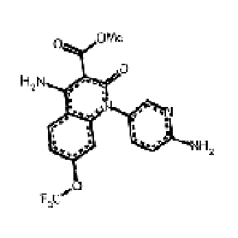 COC(=O)c1c(N)c2ccc(OC(F)(F)F)cc2n(-c2ccc(N)nc2)c1=O